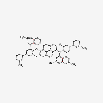 Cc1cccc(-c2cc(F)c(N(c3cccc(C(C)(C)C)c3)c3ccc4ccc5c(N(c6cccc(C(C)(C)C)c6)c6c(F)cc(-c7cccc(C)c7)cc6-c6cccc(C)c6)ccc6ccc3c4c65)c(-c3cccc(C)c3)c2)c1